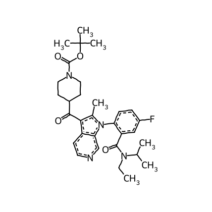 CCN(C(=O)c1cc(F)ccc1-n1c(C)c(C(=O)C2CCN(C(=O)OC(C)(C)C)CC2)c2ccncc21)C(C)C